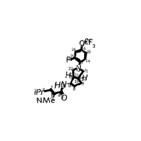 CN[C@@H](CC(C)C)C(=O)N[C@H]1CC[C@@H]2CN(c3ccc(OC(F)(F)F)cc3F)C[C@@H]21